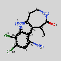 CC1C(=O)NCCc2[nH]c3c(Cl)c(Cl)cc(N)c3c21